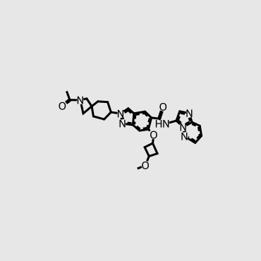 COC1CC(Oc2cc3nn(C4CCC5(CC4)CN(C(C)=O)C5)cc3cc2C(=O)Nc2cnc3cccnn23)C1